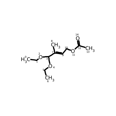 CCOC(OCC)/C(C)=C/COC(C)=O